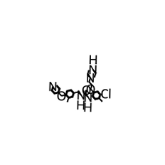 Cc1cc(NC(=O)NCc2ccc(Oc3ccncc3)c(C)c2)c(OCCN2CCNCC2)cc1Cl